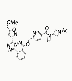 COCc1cc(-c2nnc3c4ccccc4c(OCc4ccc(C(=O)NC5CN(C(C)=O)C5)cn4)nn23)no1